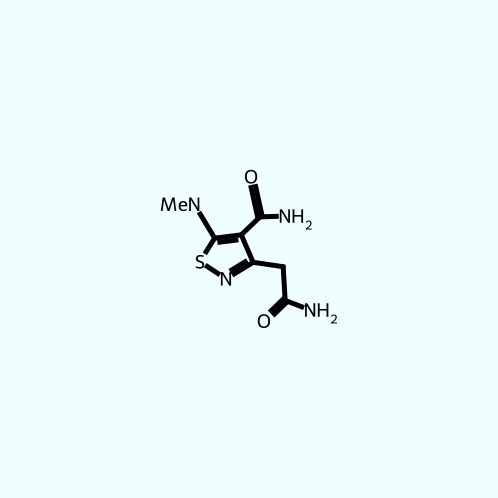 CNc1snc(CC(N)=O)c1C(N)=O